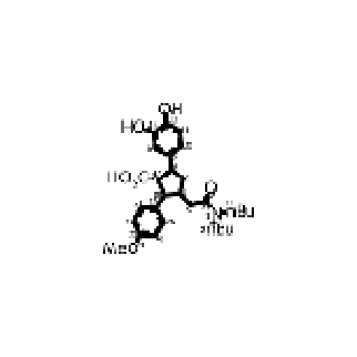 CCCCN(CCCC)C(=O)CC1CC(c2ccc(O)c(O)c2)[C@@H](C(=O)O)C1c1ccc(OC)cc1